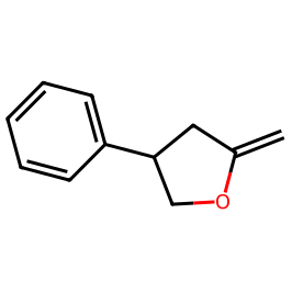 C=C1CC(c2ccccc2)CO1